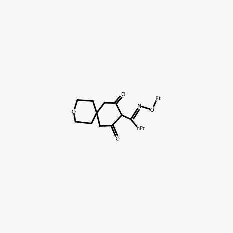 CCCC(=NOCC)C1C(=O)CC2(CCOCC2)CC1=O